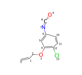 C=CCOc1cc(N=C=O)ccc1Cl